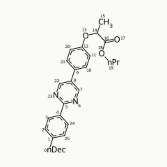 CCCCCCCCCCc1ccc(-c2ncc(-c3ccc(OC(C)C(=O)OCCC)cc3)cn2)cc1